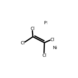 ClC(Cl)=C(Cl)Cl.[Ni].[P]